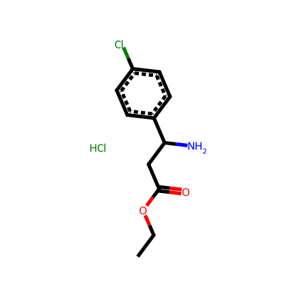 CCOC(=O)CC(N)c1ccc(Cl)cc1.Cl